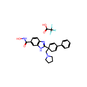 O=C(NO)c1ccc2nc(C3(CN4CCCC4)C=CC(c4ccccc4)=CC3)[nH]c2c1.O=C(O)C(F)(F)F